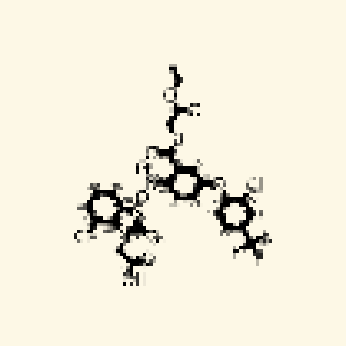 CCOC(=O)COC(=O)c1cc(Oc2ccc(C(F)(F)F)cc2Cl)ccc1[N+](=O)[O-].O=C(O)Cn1c(=O)sc2cccc(Cl)c21